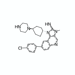 Cn1c(=N)n([C@H]2CC[C@H](N3CCNCC3)CC2)c2c3cc(-c4ccc(Cl)cc4)ccc3ncc21